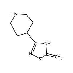 C=C1NC(C2CCNCC2)=NS1